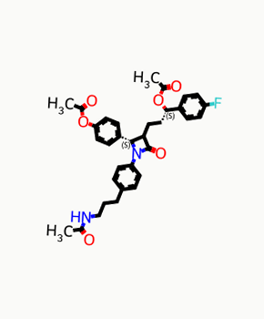 CC(=O)NCCCc1ccc(N2C(=O)C(CC[C@H](OC(C)=O)c3ccc(F)cc3)[C@H]2c2ccc(OC(C)=O)cc2)cc1